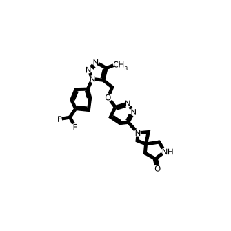 Cc1nnn(-c2ccc(C(F)F)cc2)c1COc1ccc(N2CC3(CNC(=O)C3)C2)nn1